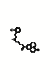 CN(CCCCC(=O)c1cc2c3c(c1)CCC(=O)N3CCC2)CCc1ccccc1Cl